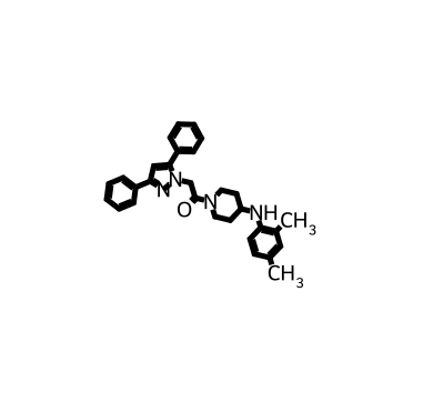 Cc1ccc(NC2CCN(C(=O)Cn3nc(-c4ccccc4)cc3-c3ccccc3)CC2)c(C)c1